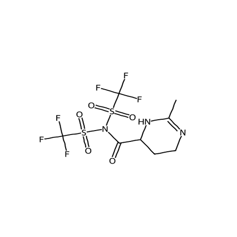 CC1=NCCC(C(=O)N(S(=O)(=O)C(F)(F)F)S(=O)(=O)C(F)(F)F)N1